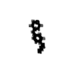 [N-]=[N+]=Nc1ccc(CN2CCOCC2)cc1